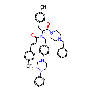 N#Cc1ccc(C[C@@H](C(=O)N2CCN(Cc3ccccc3)CC2)N(Cc2ccc(N3CCN(c4ccccc4)CC3)cc2)C(=O)/C=C/c2ccc(C(F)(F)F)cc2)cc1